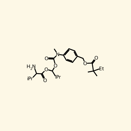 CCC(C)(C)C(=O)OCc1ccc(N(C)C(=O)OC(OC(=O)C(N)C(C)C)C(C)C)cc1